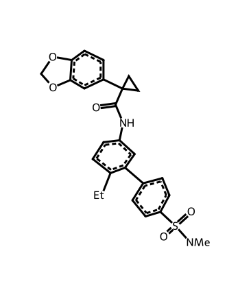 CCc1ccc(NC(=O)C2(c3ccc4c(c3)OCO4)CC2)cc1-c1ccc(S(=O)(=O)NC)cc1